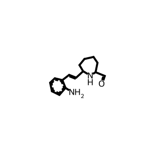 Nc1ccccc1C=CC1CCCCC(C=O)N1